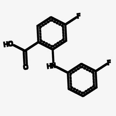 O=C(O)c1ccc(F)cc1Nc1cccc(F)c1